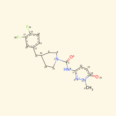 Cn1nc(NC(=O)N2CCC(Cc3ccc(F)c(F)c3)CC2)ccc1=O